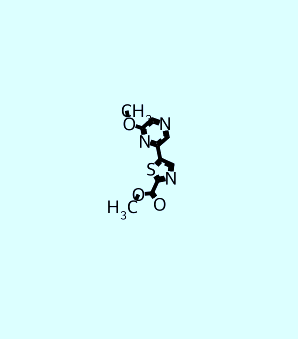 COC(=O)c1ncc(-c2cncc(OC)n2)s1